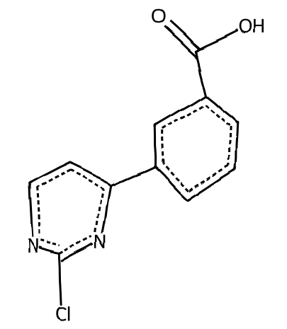 O=C(O)c1cccc(-c2ccnc(Cl)n2)c1